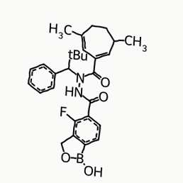 CC1=CC(C(=O)N(NC(=O)c2ccc3c(c2F)COB3O)C(c2ccccc2)C(C)(C)C)=CC(C)CC1